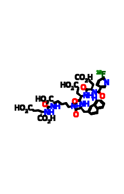 O=C(O)CC[C@H](NC(=O)N[C@@H](CCCCNC(=O)[C@H](Cc1ccc2ccccc2c1)NC(=O)[C@@H](CCC(=O)O)NC(=O)[C@@H](CCC(=O)O)NC(=O)c1ccc([18F])nc1)C(=O)O)C(=O)O